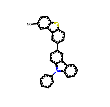 N#Cc1ccc2sc3ccc(-c4ccc5c(c4)c4ccccc4n5-c4ccccc4)cc3c2c1